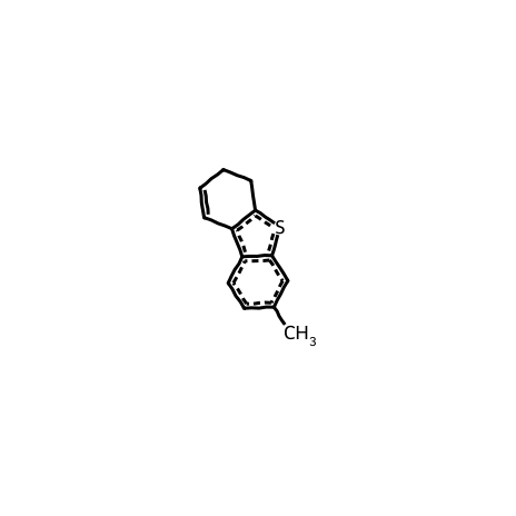 Cc1ccc2c3c(sc2c1)CCC=C3